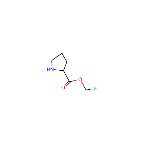 O=C(OCF)C1CCCN1